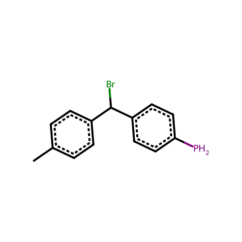 Cc1ccc(C(Br)c2ccc(P)cc2)cc1